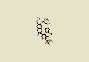 CC[C@@H](C)Oc1cc2c(cc1OC)CC(=O)N(c1ccc(N(C)C)cc1)C2c1cccc(Cl)c1NC(C)=O